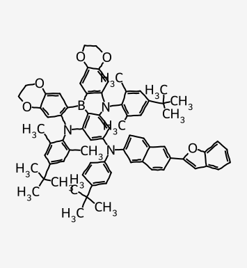 Cc1cc(C(C)(C)C)cc(C)c1N1c2cc3c(cc2B2c4cc5c(cc4N(c4c(C)cc(C(C)(C)C)cc4C)c4cc(N(c6ccc(C(C)(C)C)cc6)c6ccc7cc(-c8cc9ccccc9o8)ccc7c6)cc1c42)OCCO5)OCCO3